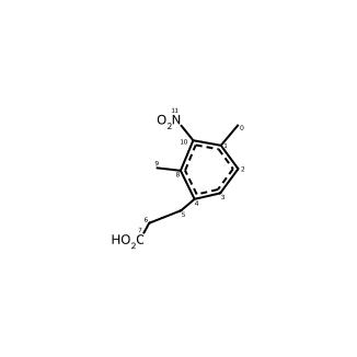 Cc1ccc(CCC(=O)O)c(C)c1[N+](=O)[O-]